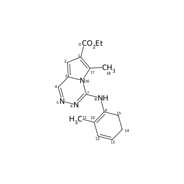 CCOC(=O)c1cc2cnnc(NC3=C(C)C=CCC3)n2c1C